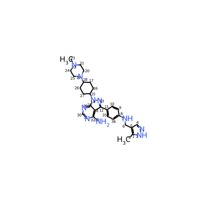 Cc1[nH]ncc1CNc1ccc(-c2nn(C3CCC(N4CCN(C)CC4)CC3)c3ncnc(N)c23)cc1